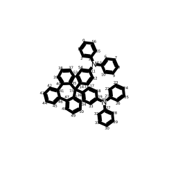 c1ccc(N(c2ccccc2)c2ccc(C3(c4ccc(N(c5ccccc5)c5ccccc5)cc4)c4ccccc4-c4ccccc4-c4ccccc43)cc2)cc1